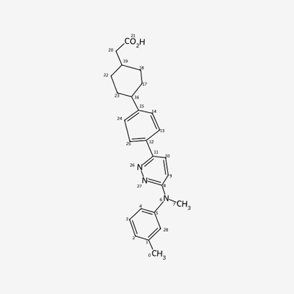 Cc1cccc(N(C)c2ccc(-c3ccc(C4CCC(CC(=O)O)CC4)cc3)nn2)c1